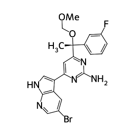 COCO[C@](C)(c1cccc(F)c1)c1cc(-c2c[nH]c3ncc(Br)cc23)nc(N)n1